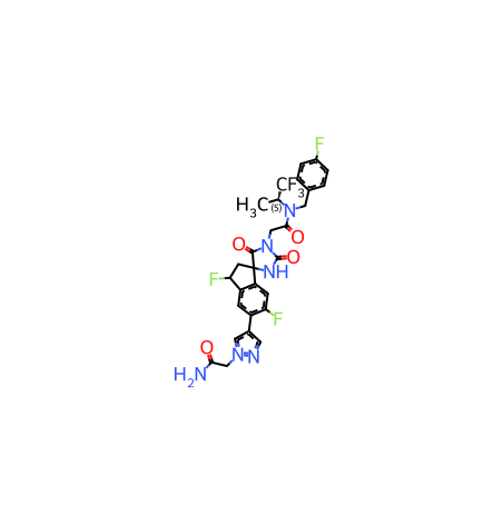 C[C@H](N(Cc1ccc(F)cc1)C(=O)CN1C(=O)NC2(CC(F)c3cc(-c4cnn(CC(N)=O)c4)c(F)cc32)C1=O)C(F)(F)F